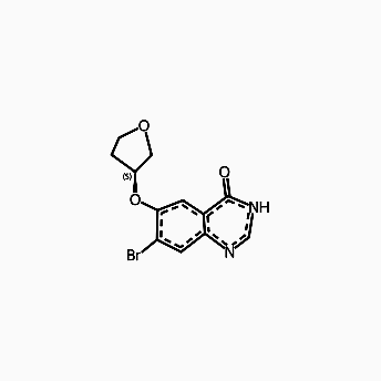 O=c1[nH]cnc2cc(Br)c(O[C@H]3CCOC3)cc12